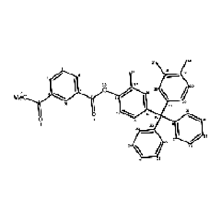 COC(=O)c1cccc(C(=O)Oc2ccc(C(c3ccccc3)(c3ccccc3)c3ccc(C)c(C)c3)cc2C)c1